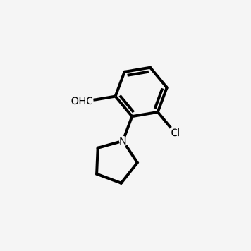 O=Cc1cccc(Cl)c1N1CCCC1